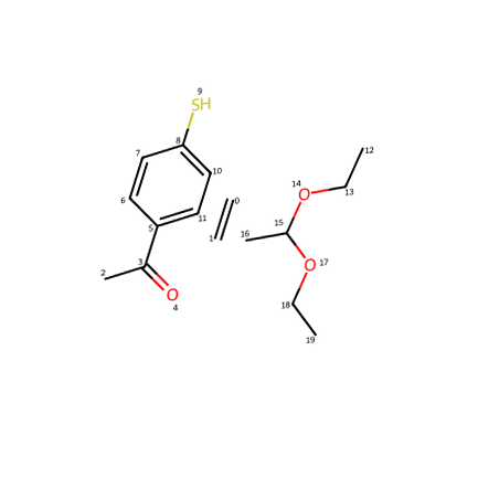 C=C.CC(=O)c1ccc(S)cc1.CCOC(C)OCC